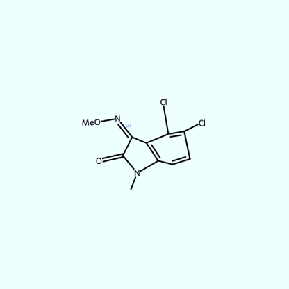 CO/N=C1\C(=O)N(C)c2ccc(Cl)c(Cl)c21